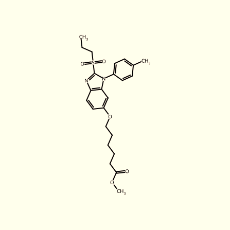 CCCS(=O)(=O)c1nc2ccc(OCCCCCC(=O)OC)cc2n1-c1ccc(C)cc1